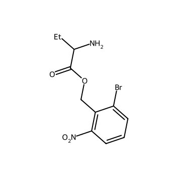 CCC(N)C(=O)OCc1c(Br)cccc1[N+](=O)[O-]